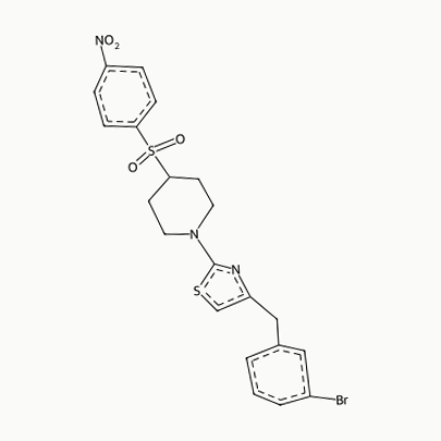 O=[N+]([O-])c1ccc(S(=O)(=O)C2CCN(c3nc(Cc4cccc(Br)c4)cs3)CC2)cc1